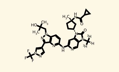 [2H]C([2H])([2H])n1c(=O)n([C@@H]2CC[C@](C)(NC(=O)C3CC3)C2)c2cc(Nc3ccc4c(n3)c(-c3cnn(C(F)(F)F)c3)nn4CC(C)(C)O)ncc21